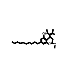 CCCCCCCCCCc1cc(O)c2c(c1)OC(OC)CC2C(CC)=C(C)C